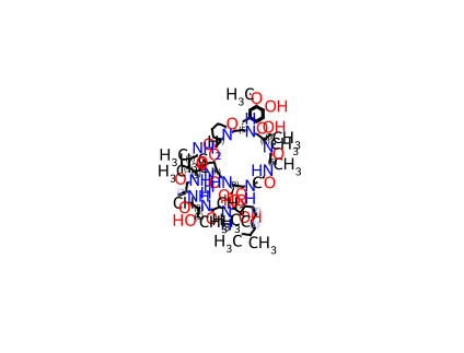 C/C=C(\NC(=O)[C@H](NC(=O)CNC(=O)C(C)(O)C(O)/C=C\C(C)=C\C(C)CC)[C@H](C)O)C(=O)N[C@H](C(=O)N[C@H]1C(=O)N[C@H](COC)C(=O)NCC(=O)N[C@@H](C)C(=O)N(C)[C@H]([C@H](C)O)C(=O)N[C@@H](Cc2ccc(O)c(OC)c2)C(=O)N2CCCC[C@H]2C(=O)OC1C(C)C)[C@@H](C)[C@@H](C)C(N)=O